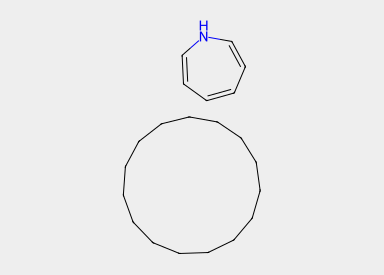 C1=CC=CNC=C1.C1CCCCCCCCCCCCCC1